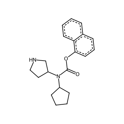 O=C(Oc1cccc2ccccc12)N(C1CCCC1)C1CCNC1